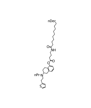 CCCCCCCCCCCCCCCCCCCC(=O)NCCCC(=O)Oc1cccc2c1CCC(N(CCC)CCc1cccs1)C2